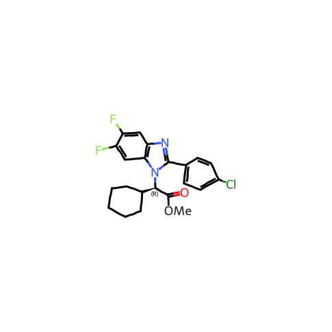 COC(=O)[C@@H](C1CCCCC1)n1c(-c2ccc(Cl)cc2)nc2cc(F)c(F)cc21